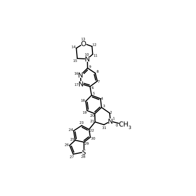 CN1Cc2cc(-c3ccc(N4CCOCC4)nn3)ccc2C(c2ccc3ccsc3c2)C1